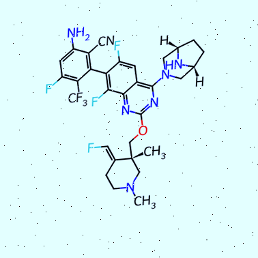 CN1CC/C(=C\F)[C@](C)(COc2nc(N3C[C@H]4CC[C@@H](C3)N4)c3cc(F)c(-c4c(C#N)c(N)cc(F)c4C(F)(F)F)c(F)c3n2)C1